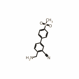 CS(=O)(=O)c1ccc(-c2ccc(CN)c(C#N)c2)cc1